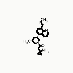 C/N=C/c1ccc([C@H]2C[C@@H](C)CN(C(=O)CC3(N)CC3)C2)c2cccnc12